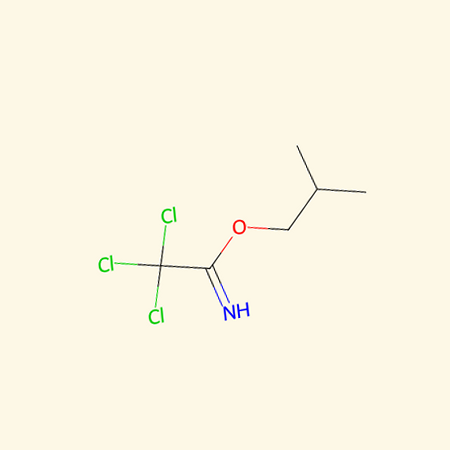 CC(C)COC(=N)C(Cl)(Cl)Cl